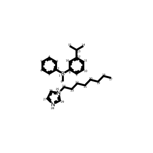 CB(c1ccccc1)c1cccc(C(C)C)c1.CCCCCCCCn1ccnc1